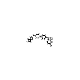 O=C1CCC(Nc2ccc(N3CCC(CN4CC5(CNC5)C4)CC3)cc2)C(=O)N1